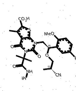 COc1ccc(F)cc1[C@H](Cn1c(=O)n(C(C)(C)C(=O)NC(C)C)c(=O)c2c(C)c(C(=O)O)sc21)OC[C@@H](C)C#N